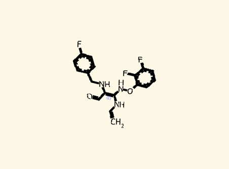 C=CN/C(NOc1cccc(F)c1F)=C(\C=O)NCc1ccc(F)cc1